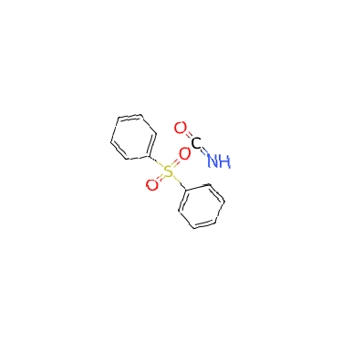 N=C=O.O=S(=O)(c1ccccc1)c1ccccc1